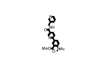 COC(=O)c1cc(-c2ccc(C(=O)NCc3cccnc3)cn2)ccc1N(C)C(C)=O